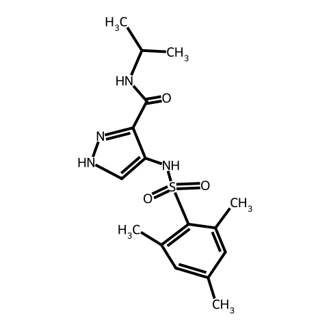 Cc1cc(C)c(S(=O)(=O)Nc2c[nH]nc2C(=O)NC(C)C)c(C)c1